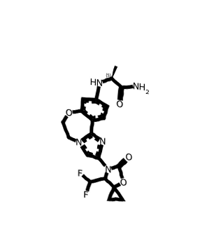 C[C@H](Nc1ccc2c(c1)OCCn1cc(N3C(=O)OC4(CC4)C3C(F)F)nc1-2)C(N)=O